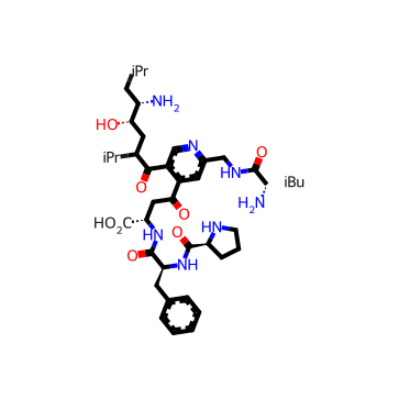 CC[C@H](C)[C@H](N)C(=O)NCc1cc(C(=O)C[C@H](NC(=O)[C@H](Cc2ccccc2)NC(=O)[C@@H]2CCCN2)C(=O)O)c(C(=O)C(C[C@H](O)[C@@H](N)CC(C)C)C(C)C)cn1